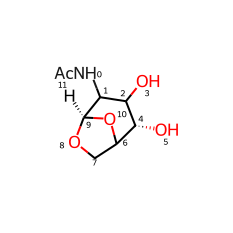 CC(=O)NC1C(O)[C@H](O)C2CO[C@@H]1O2